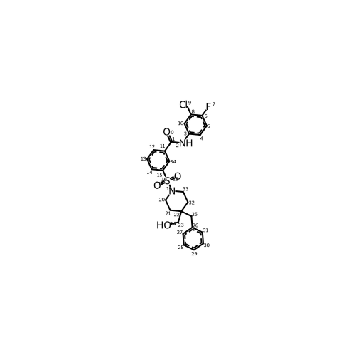 O=C(Nc1ccc(F)c(Cl)c1)c1cccc(S(=O)(=O)N2CCC(CO)(Cc3ccccc3)CC2)c1